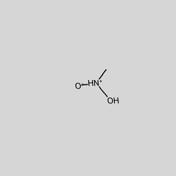 C[NH+]([O-])O